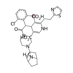 CN1C2CCC1CC(N1CCN(C(=O)C(c3c(Cl)cccc3Cl)C3C(C(=O)O)=CNC(CCc4nccs4)=C3C(=O)O)CC1)C2